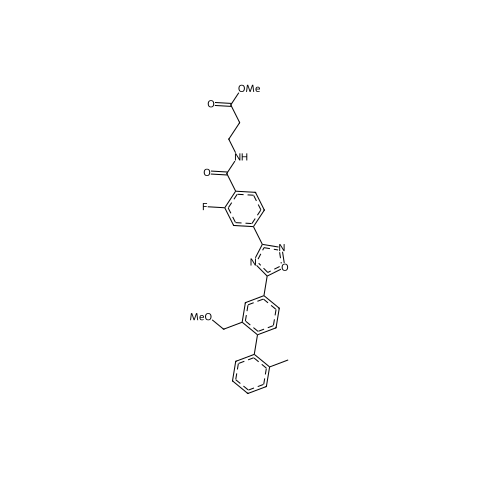 COCc1cc(-c2nc(-c3ccc(C(=O)NCCC(=O)OC)c(F)c3)no2)ccc1-c1ccccc1C